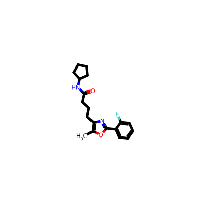 Cc1oc(-c2ccccc2F)nc1CCCC(=O)NC1CCCC1